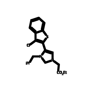 CCOC(=O)CN1C=C(c2sc3ccccc3c2Cl)N(CC(C)C)C1